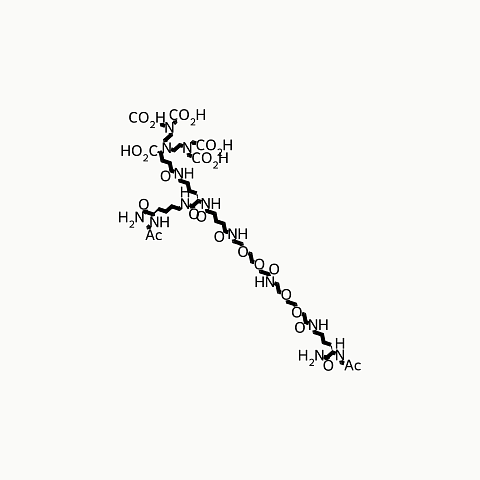 CC(=O)CN[C@@H](CCCCNC(=O)COCCOCCNC(=O)COCCOCCNC(=O)CCCC(=O)N[C@@H](CCCCNC(=O)CC[C@@H](C(=O)O)N(CCN(CC(=O)O)CC(=O)O)CCN(CC(=O)O)CC(=O)O)C(=O)NCCCC[C@@H](NCC(C)=O)C(N)=O)C(N)=O